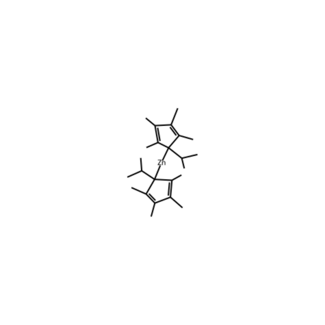 CC1=C(C)[C]([Zn][C]2(C(C)C)C(C)=C(C)C(C)=C2C)(C(C)C)C(C)=C1C